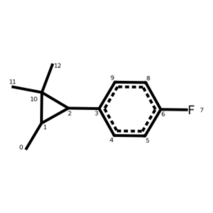 CC1C(c2ccc(F)cc2)C1(C)C